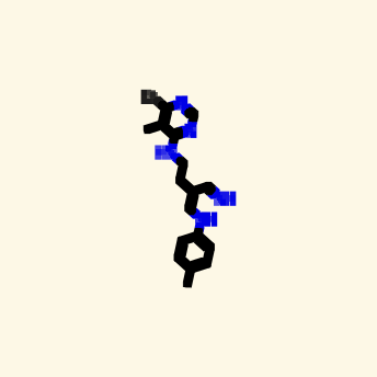 CCc1ncnc(NCC/C(C=N)=C/Nc2ccc(C)cc2)c1C